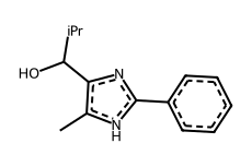 Cc1[nH]c(-c2ccccc2)nc1C(O)C(C)C